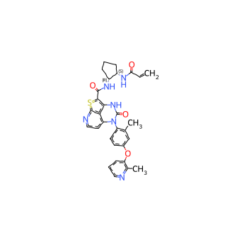 C=CC(=O)N[C@H]1CCC[C@H]1NC(=O)c1sc2nccc3c2c1NC(=O)N3c1ccc(Oc2cccnc2C)cc1C